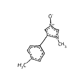 Cc1ccc(-c2c[n+]([O-])cn2C)cc1